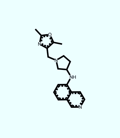 Cc1nc(CN2CCC(Nc3cccc4cnccc34)C2)c(C)o1